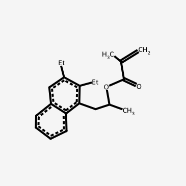 C=C(C)C(=O)OC(C)Cc1c(CC)c(CC)cc2ccccc12